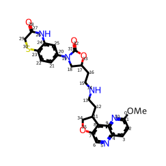 COc1ccc2ncc3c(c2n1)C(CCNCCC1CN(c2ccc4c(c2)NC(=O)CS4)C(=O)O1)CO3